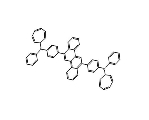 C1=CC=CC(N(c2ccccc2)c2ccc(-c3cc4c5ccccc5c(-c5ccc(N(c6ccccc6)C6C=CC=CC=C6)cc5)cc4c4ccccc34)cc2)C=C1